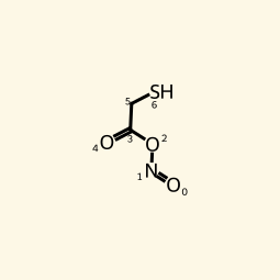 O=NOC(=O)CS